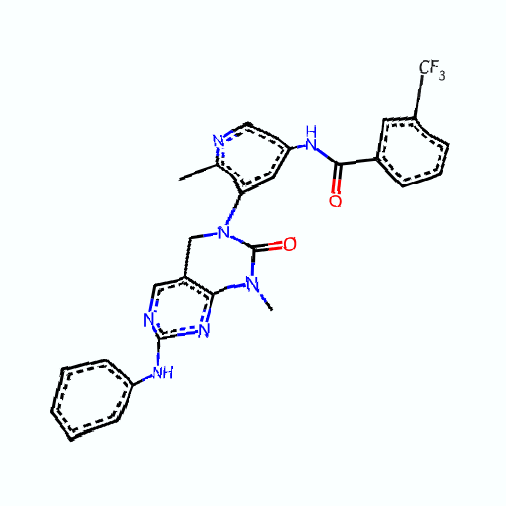 Cc1ncc(NC(=O)c2cccc(C(F)(F)F)c2)cc1N1Cc2cnc(Nc3ccccc3)nc2N(C)C1=O